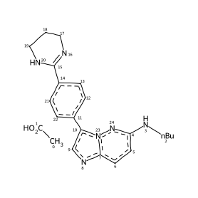 CC(=O)O.CCCCNc1ccc2ncc(-c3ccc(C4=NCCCN4)cc3)n2n1